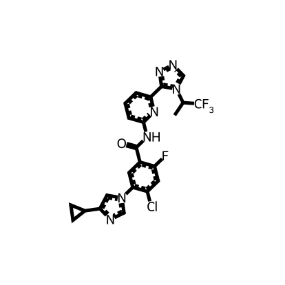 CC(n1cnnc1-c1cccc(NC(=O)c2cc(-n3cnc(C4CC4)c3)c(Cl)cc2F)n1)C(F)(F)F